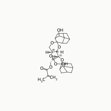 C=C(C)C(=O)OC[C@]12O[C@@H]3COC4(O[C@H]3[C@@H]1OC1(O2)C2CC3CC(C2)C(O)C1C3)C1CC2CC(C1)C(O)C4C2